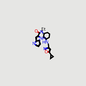 CCN(C(=O)c1cc2ncccc2[nH]1)[C@@H]1C=C(NCc2cc(C3CC3)on2)CCC1